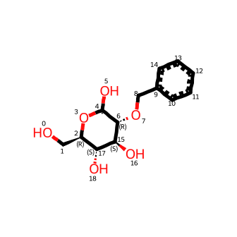 OC[C@H]1O[C](O)[C@H](OCc2ccccc2)[C@@H](O)[C@@H]1O